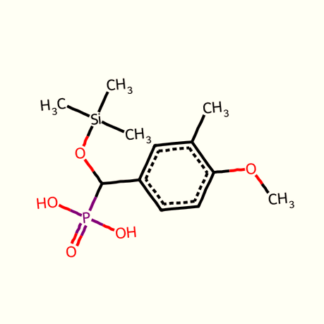 COc1ccc(C(O[Si](C)(C)C)P(=O)(O)O)cc1C